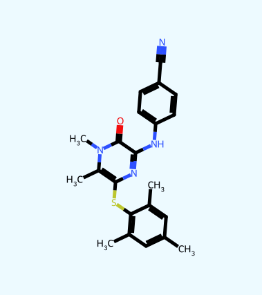 Cc1cc(C)c(Sc2nc(Nc3ccc(C#N)cc3)c(=O)n(C)c2C)c(C)c1